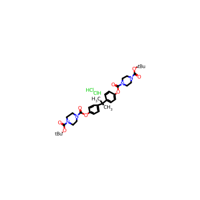 CC(C)(C)OC(=O)N1CCN(C(=O)Oc2ccc(C(C)(C)c3ccc(OC(=O)N4CCN(C(=O)OC(C)(C)C)CC4)cc3)cc2)CC1.Cl.Cl